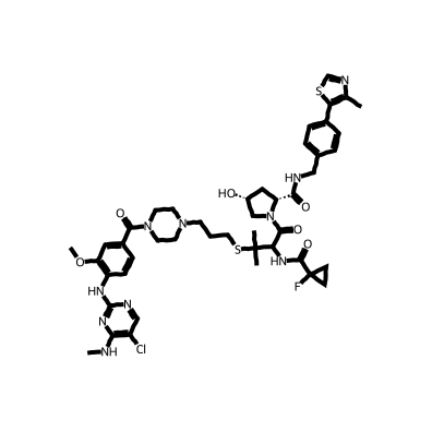 CNc1nc(Nc2ccc(C(=O)N3CCN(CCCSC(C)(C)C(NC(=O)C4(F)CC4)C(=O)N4C[C@H](O)C[C@@H]4C(=O)NCc4ccc(-c5scnc5C)cc4)CC3)cc2OC)ncc1Cl